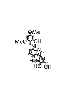 COc1cc(O)c(CNc2ncnc3c2ncn3[C@@H]2O[C@H](CO)[C@@H](O)[C@H]2O)c(OC)c1